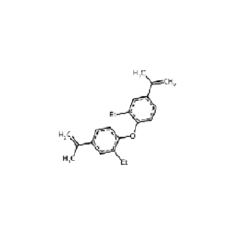 C=C(C)c1ccc(Oc2ccc(C(=C)C)cc2CC)c(CC)c1